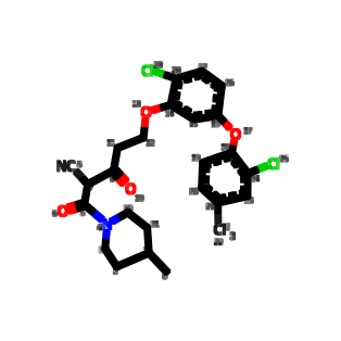 CC1CCN(C(=O)C(C#N)C(=O)CCOc2cc(Oc3ccc(C(F)(F)F)cc3Cl)ccc2Cl)CC1